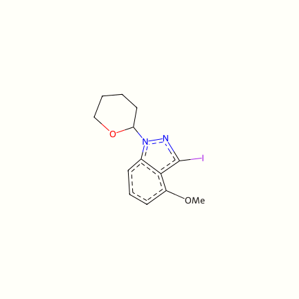 COc1cccc2c1c(I)nn2C1CCCCO1